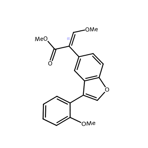 CO/C=C(/C(=O)OC)c1ccc2occ(-c3ccccc3OC)c2c1